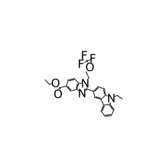 CCOC(=O)c1ccc2c(c1)nc(-c1ccc3c(c1)c1ccccc1n3CC)n2CCOC(F)(F)F